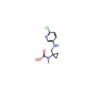 CN(C(=O)O)C1(CNc2ccc(Cl)nc2)CC1